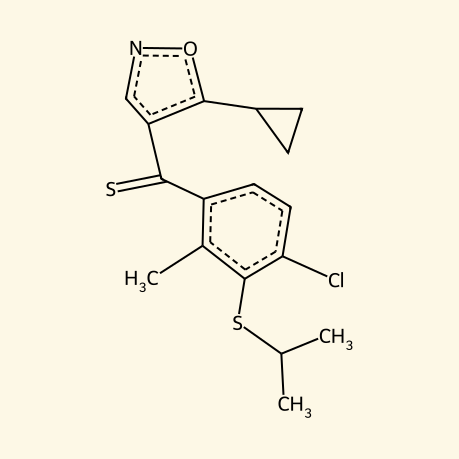 Cc1c(C(=S)c2cnoc2C2CC2)ccc(Cl)c1SC(C)C